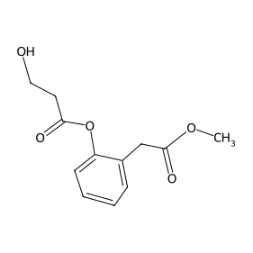 COC(=O)Cc1ccccc1OC(=O)CCO